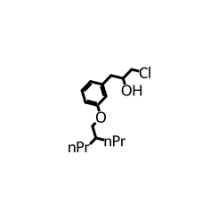 CCCC(CCC)COc1cccc(CC(O)CCl)c1